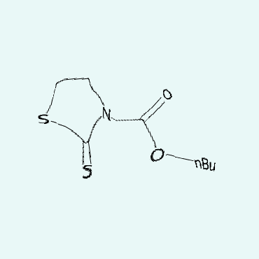 CCCCOC(=O)N1CCSC1=S